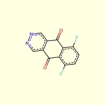 O=C1c2cnncc2C(=O)c2c(F)ccc(F)c21